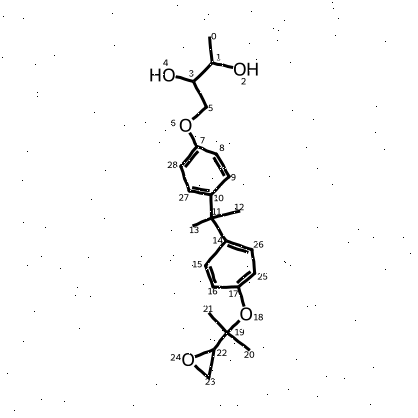 CC(O)C(O)COc1ccc(C(C)(C)c2ccc(OC(C)(C)C3CO3)cc2)cc1